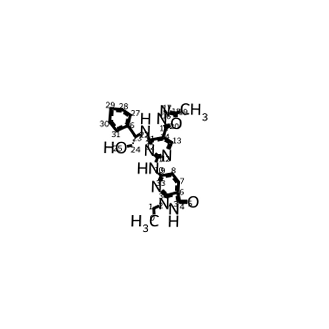 CCn1[nH]c(=O)c2ccc(Nc3ncc(-c4nnc(C)o4)c(N[C@H](CO)c4ccccc4)n3)nc21